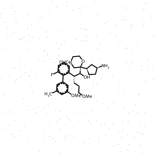 COCCC[C@H](c1cccc(F)c1-c1cc(C)cc(OC)c1)C(O)[C@@]1([C@@H]2CC[C@H](N)C2)CN(C=O)CCO1